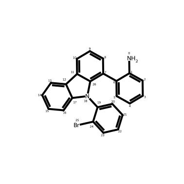 Nc1ccccc1-c1cccc2c3ccccc3n(-c3ccccc3Br)c12